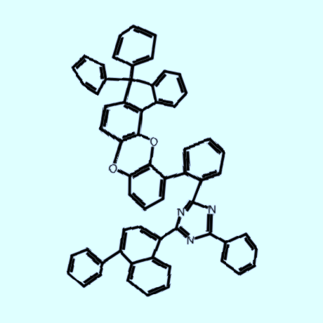 c1ccc(-c2nc(-c3ccccc3-c3cccc4c3Oc3c(ccc5c3-c3ccccc3C5(c3ccccc3)c3ccccc3)O4)nc(-c3ccc(-c4ccccc4)c4ccccc34)n2)cc1